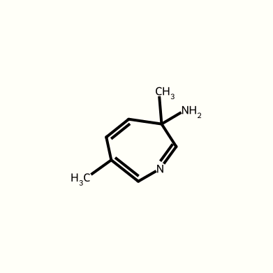 CC1=CN=CC(C)(N)C=C1